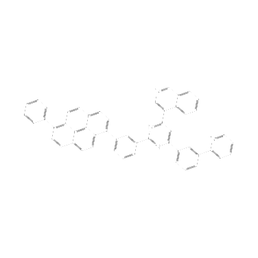 c1ccc(-c2ccc3ccc4c(-c5cccc(-c6nc(-c7cccc(-c8ccccn8)c7)cc(-c7cncc8ccccc78)n6)c5)ccc5ccc2c3c54)cc1